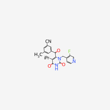 Cc1cc(C#N)cc(C(=O)c2c(C(C)C)c(=O)[nH]c(=O)n2Cc2ccncc2F)c1